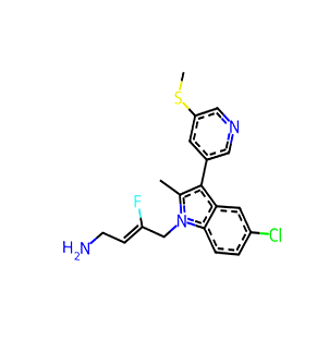 CSc1cncc(-c2c(C)n(C/C(F)=C/CN)c3ccc(Cl)cc23)c1